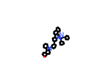 c1ccc(-c2nc3c4c5ccccc5ccc4c4ccc(-c5cccc(-n6c7ccccc7c7c8ccccc8ccc76)c5)cc4n3c2-c2ccccc2)cc1